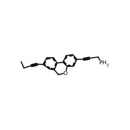 CCC#Cc1ccc2c(c1)COc1cc(C#CCP)ccc1-2